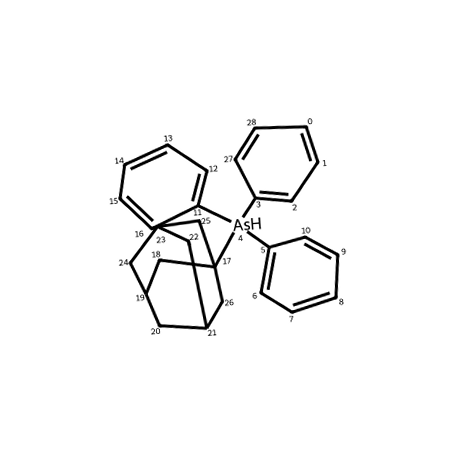 c1ccc([AsH](c2ccccc2)(c2ccccc2)C23CC4CC(CC(C4)C2)C3)cc1